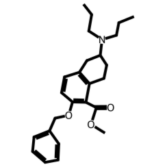 CCCN(CCC)C1CCc2c(ccc(OCc3ccccc3)c2C(=O)OC)C1